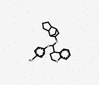 CCC(C)c1ccc(OC(OC2CC3CC2C2CCCC32)C2CCOc3ccccc32)cc1